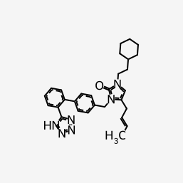 C/C=C/Cc1cn(CCC2CCCCC2)c(=O)n1Cc1ccc(-c2ccccc2-c2nnn[nH]2)cc1